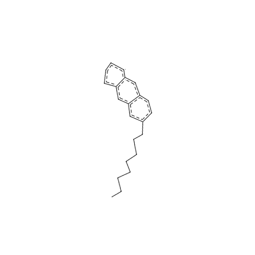 CCCCCCCCc1ccc2cc3[c]cccc3cc2c1